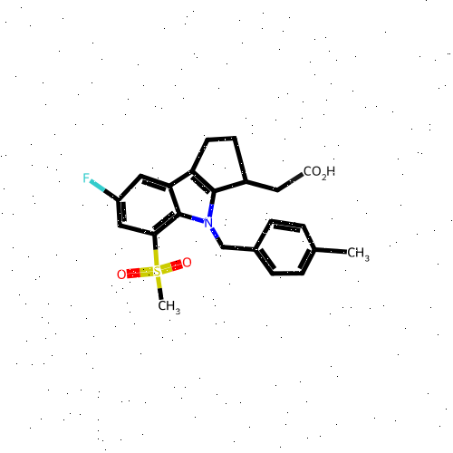 Cc1ccc(Cn2c3c(c4cc(F)cc(S(C)(=O)=O)c42)CCC3CC(=O)O)cc1